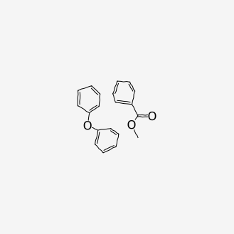 COC(=O)c1ccccc1.c1ccc(Oc2ccccc2)cc1